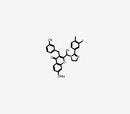 COc1ccc2c(=O)c(Cc3cccc(C#N)c3)c(C(C(C)C)N3CCN=C3c3ccc(C)c(F)c3)oc2c1